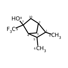 CC1C2CC(C1C)C(O)(C(F)(F)F)C2